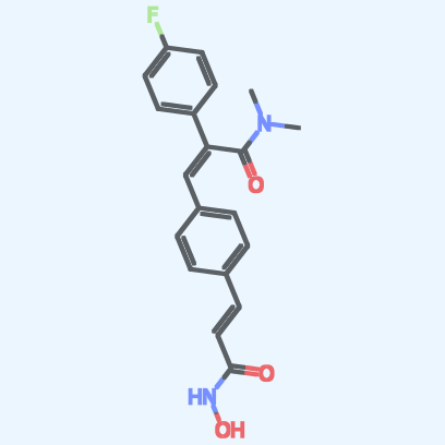 CN(C)C(=O)C(=Cc1ccc(C=CC(=O)NO)cc1)c1ccc(F)cc1